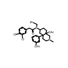 CC(=O)Oc1cccc(C23CCN(C)CC2(OC(C)=O)CCC(N(CC(C)C)C(=O)Cc2ccc(Cl)c(Cl)c2)C3)c1